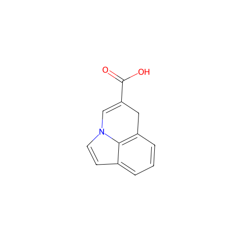 O=C(O)C1=Cn2ccc3cccc(c32)C1